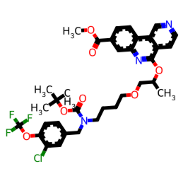 COC(=O)c1ccc2c(c1)nc(OC(C)COCCCCN(Cc1ccc(OC(F)(F)F)c(Cl)c1)C(=O)OC(C)(C)C)c1ccncc12